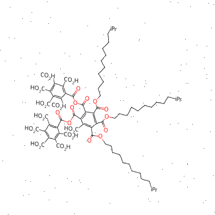 CC(C)CCCCCCCCCCOC(=O)c1c(C(=O)O)c(C(=O)OC(=O)c2c(C(=O)O)c(C(=O)O)c(C(=O)O)c(C(=O)O)c2C(=O)O)c(C(=O)OC(=O)c2c(C(=O)O)c(C(=O)O)c(C(=O)O)c(C(=O)O)c2C(=O)O)c(C(=O)OCCCCCCCCCCC(C)C)c1C(=O)OCCCCCCCCCCC(C)C